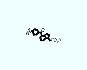 C[S+]([O-])c1ccc(C(=O)c2cccc3c2C=CC3CC(=O)O)cc1